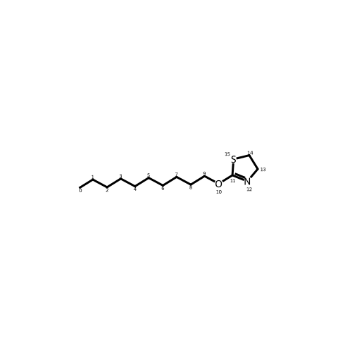 CCCCCCCCCCOC1=NCCS1